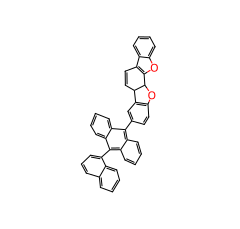 C1=CC2c3cc(-c4c5ccccc5c(-c5cccc6ccccc56)c5ccccc45)ccc3OC2c2oc3ccccc3c21